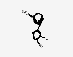 Oc1cc[c]c(-c2ccc(Cl)c(Cl)c2)c1